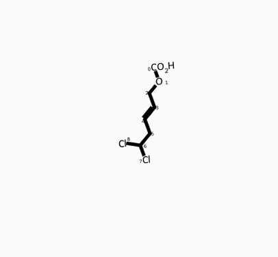 O=C(O)OCC=CCC(Cl)Cl